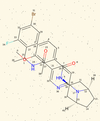 COc1cccc(C(=O)N[C@H]2C[C@H]3CC[C@@H](C2)N3c2ccc(C(=O)NC(C)c3ccc(Br)cc3F)cn2)c1C